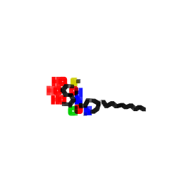 CCCCCCCCCC[C@H]1CC[C@@H](C(=O)N[C@H]([C@H](C)Cl)[C@H]2OC(SC)[C@H](O)C(O)C2O)N(C)CC1